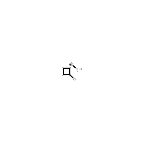 O=CO.OC1CCC1